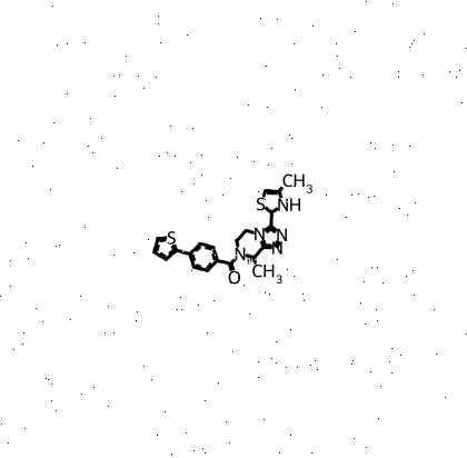 CC1=CSC(c2nnc3n2CCN(C(=O)c2ccc(-c4cccs4)cc2)[C@@H]3C)N1